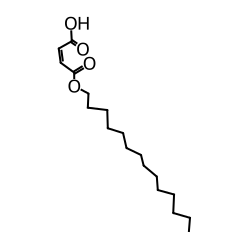 CCCCCCCCCCCCCCOC(=O)/C=C\C(=O)O